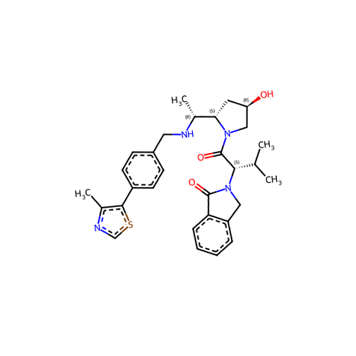 Cc1ncsc1-c1ccc(CN[C@H](C)[C@@H]2C[C@@H](O)CN2C(=O)[C@H](C(C)C)N2Cc3ccccc3C2=O)cc1